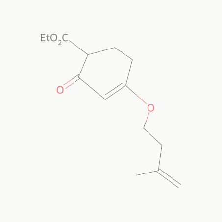 C=C(C)CCOC1=CC(=O)C(C(=O)OCC)CC1